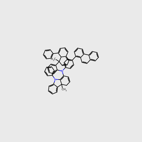 CC12CC=CC(N(c3ccc(-c4cccc5c4ccc4ccccc45)cc3)c3ccccc3C3(C)C=CC=C4C=CC=C(c5ccccc5)C43)=C1N(c1ccccc1)c1ccccc12